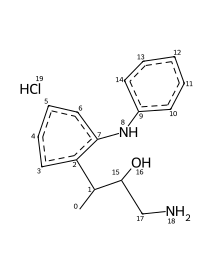 CC(c1ccccc1Nc1ccccc1)C(O)CN.Cl